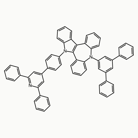 c1ccc(-c2cc(-c3ccccc3)cc(N3c4ccccc4-c4c(n(-c5ccc(-c6cc(-c7ccccc7)nc(-c7ccccc7)c6)cc5)c5ccccc45)-c4ccccc43)c2)cc1